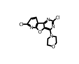 Clc1ccc2c(n1)oc1c(N3CCOCC3)nc(Cl)nc12